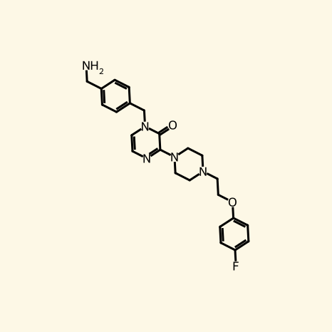 NCc1ccc(Cn2ccnc(N3CCN(CCOc4ccc(F)cc4)CC3)c2=O)cc1